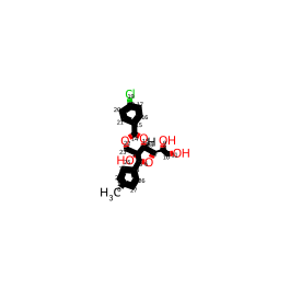 Cc1ccc(C2O[C@H](C(O)CO)[C@@H]3OC(c4ccc(Cl)cc4)OC[C@@]23O)cc1